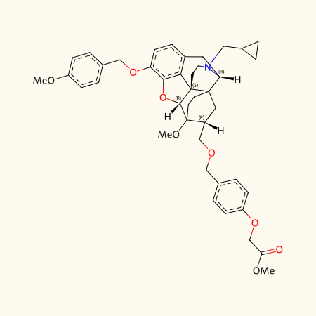 COC(=O)COc1ccc(COC[C@H]2CC34CCC2(OC)[C@@H]2Oc5c(OCc6ccc(OC)cc6)ccc6c5[C@@]23CCN(CC2CC2)[C@@H]4C6)cc1